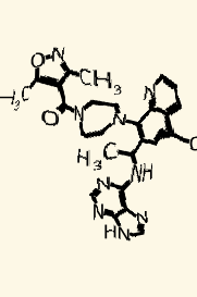 Cc1noc(C)c1C(=O)N1CCN(c2c(C(C)Nc3ncnc4[nH]cnc34)cc(Cl)c3cccnc23)CC1